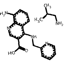 CC(C)CN.Nc1cccc2c(NCc3ccccn3)c(C(=O)O)cnc12